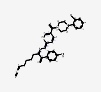 C=C=CCCCC/C(=N/C=C(C)/C=C\C(=C/C)C(=C)N1CCN(c2ccccc2C)CC1)C(=C)c1ccc(Cl)cc1